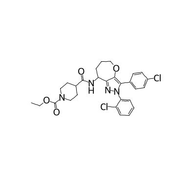 CCOC(=O)N1CCC(C(=O)NC2CCCOc3c2nn(-c2ccccc2Cl)c3-c2ccc(Cl)cc2)CC1